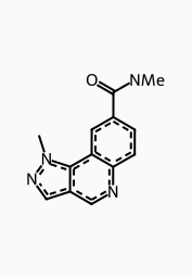 CNC(=O)c1ccc2ncc3cnn(C)c3c2c1